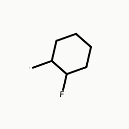 [CH2]C1CCCCC1F